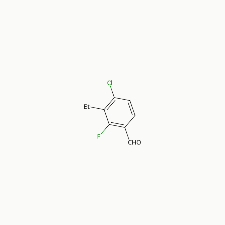 CCc1c(Cl)ccc(C=O)c1F